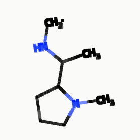 [CH2]NC(C)C1CCCN1C